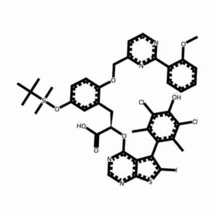 COc1ccccc1-c1nccc(COc2ccc(O[Si](C)(C)C(C)(C)C)cc2C[C@@H](Oc2ncnc3sc(I)c(-c4c(C)c(Cl)c(O)c(Cl)c4C)c23)C(=O)O)n1